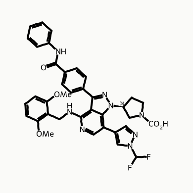 COc1cccc(OC)c1CNc1ncc(-c2cnn(C(F)F)c2)c2c1c(-c1ccc(C(=O)Nc3ccccc3)cc1)nn2[C@H]1CCN(C(=O)O)C1